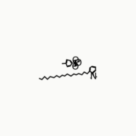 CCCCCCCCCCCCCCCCCCc1ccccc1N(C)C.COS(=O)(=O)c1ccc(C)cc1